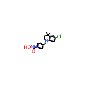 CC1(C)CCN(Cc2ccc(C(=O)NO)cc2)c2ccc(Cl)cc21